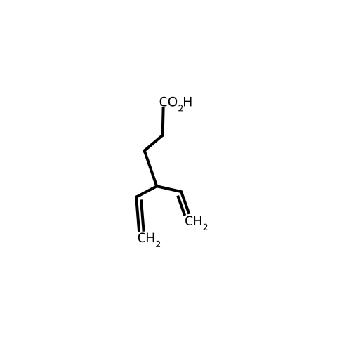 C=CC(C=C)CCC(=O)O